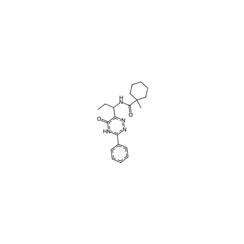 CCC(NC(=O)C1(C)CCCCC1)c1nnc(-c2ccccc2)[nH]c1=O